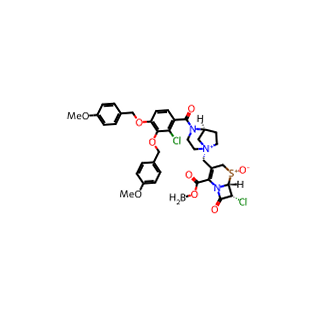 BOC(=O)C1=C(C[N@@+]23CC[C@@H](C2)N(C(=O)c2ccc(OCc4ccc(OC)cc4)c(OCc4ccc(OC)cc4)c2Cl)CC3)C[S+]([O-])[C@@H]2[C@H](Cl)C(=O)N12